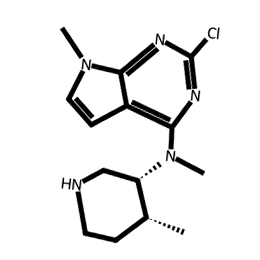 C[C@@H]1CCNC[C@@H]1N(C)c1nc(Cl)nc2c1ccn2C